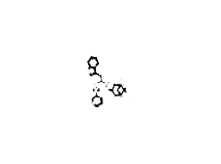 CC1(C)[C@@H]2C[C@H]3OB([C@H](Cc4coc5ccccc45)NS(=O)(=O)c4cccnc4)O[C@@]3(C)[C@H]1C2